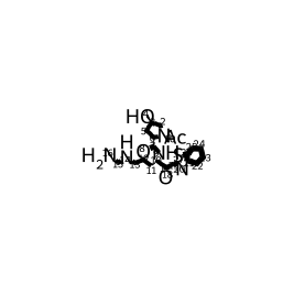 CC(=O)N1C[C@H](O)C[C@H]1C(=O)N[C@@H](CCCNCN)C(=O)c1nc2ccccc2s1